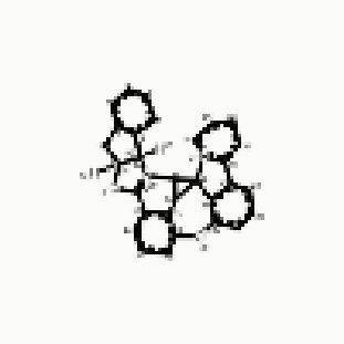 c1ccc2c(c1)C[C@H]1OC3=[N+](C4C5c6c(cccc63)Oc3cccc6c3C54[n+]3ccccc3-6)[C@@H]21